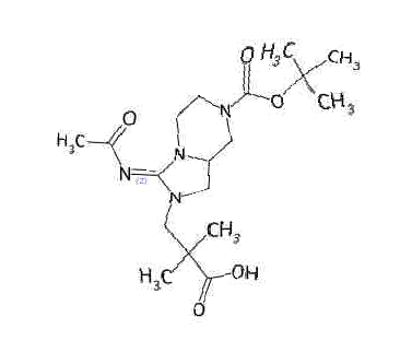 CC(=O)/N=C1/N(CC(C)(C)C(=O)O)CC2CN(C(=O)OC(C)(C)C)CCN12